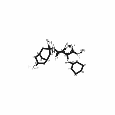 CCOc1noc(C(=O)NC2(C)CC3CC(C)CC(C3)C2)c1SC1CCCCC1